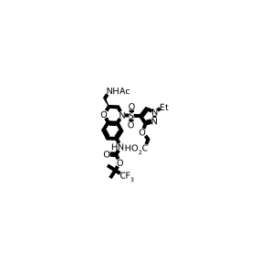 CCn1cc(S(=O)(=O)N2C[C@H](CNC(C)=O)Oc3ccc(NC(=O)OC(C)(C)C(F)(F)F)cc32)c(OCC(=O)O)n1